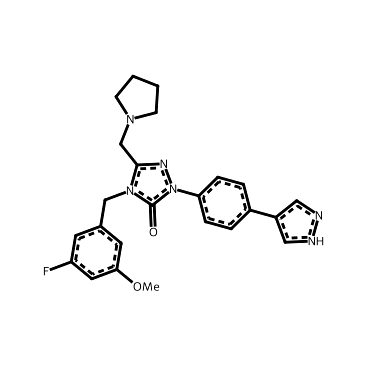 COc1cc(F)cc(Cn2c(CN3CCCC3)nn(-c3ccc(-c4cn[nH]c4)cc3)c2=O)c1